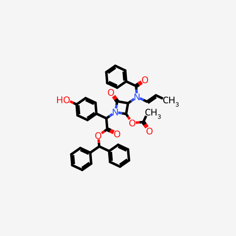 CC=CN(C(=O)c1ccccc1)C1C(=O)N(C(C(=O)OC(c2ccccc2)c2ccccc2)c2ccc(O)cc2)C1OC(C)=O